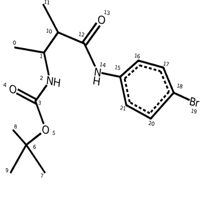 CC(NC(=O)OC(C)(C)C)C(C)C(=O)Nc1ccc(Br)cc1